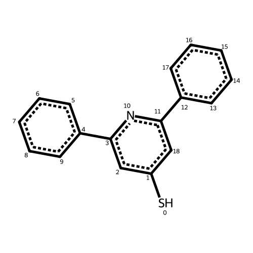 Sc1cc(-c2ccccc2)nc(-c2ccccc2)c1